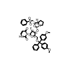 COc1ccc(C(OC[C@H]2O[C@H](n3c(=O)cc[nH]c3=O)[C@@H](F)[C@@H]2O[P@@]2O[C@H](CS(=O)(=O)c3ccccc3)[C@@H]3CCCN32)(c2ccccc2)c2ccc(OC)cc2)cc1